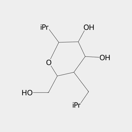 CC(C)CC1C(CO)OC(C(C)C)C(O)C1O